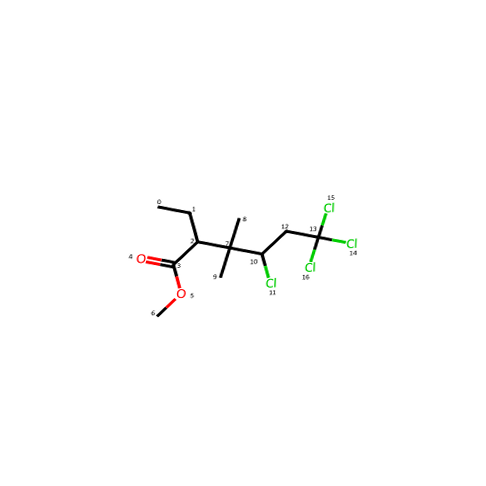 CCC(C(=O)OC)C(C)(C)C(Cl)CC(Cl)(Cl)Cl